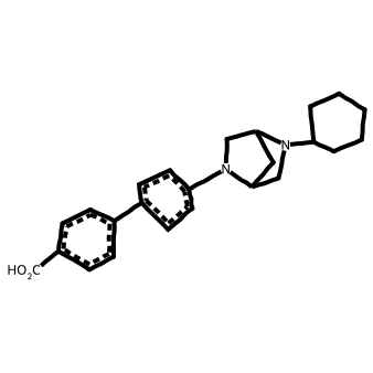 O=C(O)c1ccc(-c2ccc(N3CC4CC3CN4C3CCCCC3)cc2)cc1